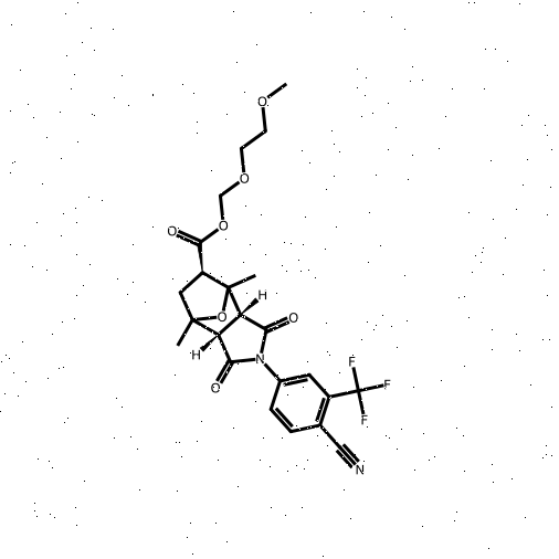 COCCOCOC(=O)[C@@H]1CC2(C)OC1(C)[C@@H]1C(=O)N(c3ccc(C#N)c(C(F)(F)F)c3)C(=O)[C@@H]12